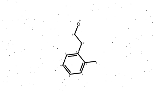 Cc1ccccc1CC[O]